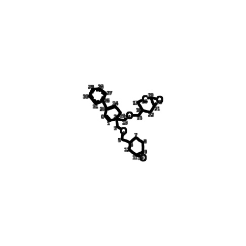 C1=CC(COCC2CCC3OC3C2)(COCC2CCC3OC3C2)CC=C1c1ccccc1